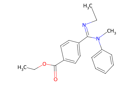 CCN=C(c1ccc(C(=O)OCC)cc1)N(C)c1ccccc1